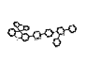 c1ccc(-c2ccc(-c3ccc(-c4ccc(-c5ccc6c(c5)C5(c7ccccc7S6)c6ccccc6-c6ccccc65)nn4)cc3)c(-c3ccccc3)n2)cc1